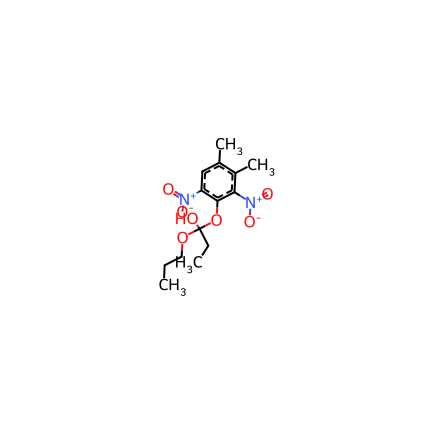 CCCOC(O)(CC)Oc1c([N+](=O)[O-])cc(C)c(C)c1[N+](=O)[O-]